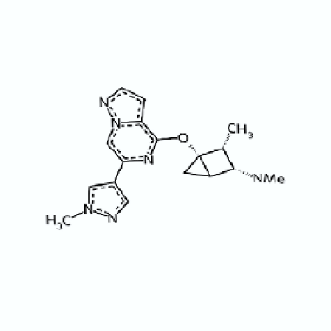 CN[C@@H]1C2C[C@@]2(Oc2nc(-c3cnn(C)c3)cn3nccc23)[C@@H]1C